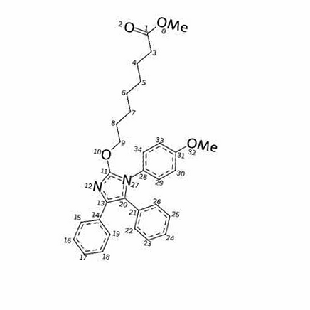 COC(=O)CCCCCCCOc1nc(-c2ccccc2)c(-c2ccccc2)n1-c1ccc(OC)cc1